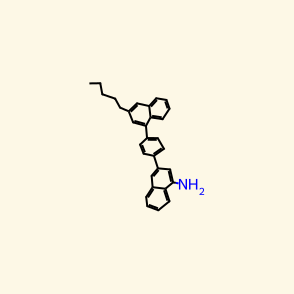 CCCCCc1cc(-c2ccc(-c3cc(N)c4ccccc4c3)cc2)c2ccccc2c1